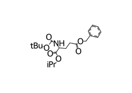 CC(C)OC(=O)C(CCC(=O)OCc1ccccc1)NC(=O)OC(C)(C)C